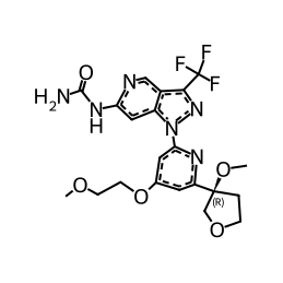 COCCOc1cc(-n2nc(C(F)(F)F)c3cnc(NC(N)=O)cc32)nc([C@]2(OC)CCOC2)c1